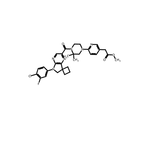 COC(=O)Cc1ccc(N2CCN(C(=O)c3cnc4c(n3)C3(CCC3)CN4c3ccc(Cl)c(F)c3)C(C)(C)C2)nc1